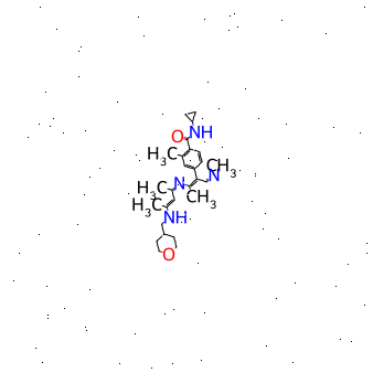 C\N=C/C(=C(C)/N=C(C)\C=C(/C)NCC1CCOCC1)c1ccc(C(=O)NC2CC2)c(C)c1